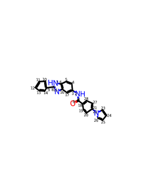 O=C(Nc1ccc2[nH]c(-c3ccccc3)nc2c1)c1ccc(-n2cccc2)cc1